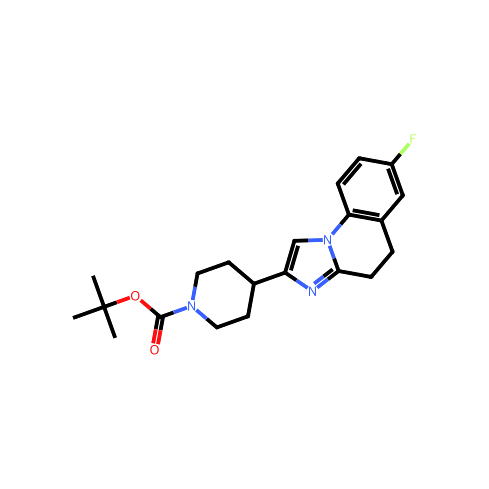 CC(C)(C)OC(=O)N1CCC(c2cn3c(n2)CCc2cc(F)ccc2-3)CC1